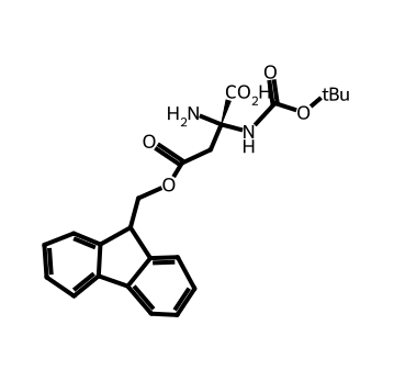 CC(C)(C)OC(=O)N[C@@](N)(CC(=O)OCC1c2ccccc2-c2ccccc21)C(=O)O